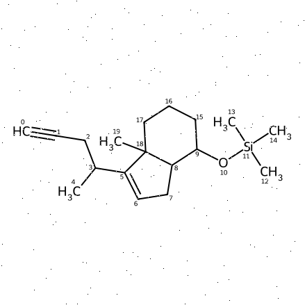 C#CCC(C)C1=CCC2C(O[Si](C)(C)C)CCCC12C